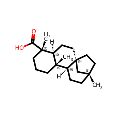 C[C@]12CC[C@@H]3[C@@](CC[C@H]4[C@@]3(C)CCC[C@]4(C)C(=O)O)(CC1)C2